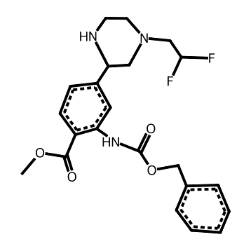 COC(=O)c1ccc(C2CN(CC(F)F)CCN2)cc1NC(=O)OCc1ccccc1